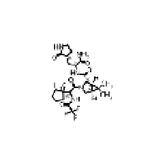 CC1([C@H](NC(=O)C(F)(F)F)C(=O)N2C[C@H]3[C@@H]([C@H]2C(=O)N[C@@H](C[C@@H]2CCNC2=O)C(N)=O)C3(C)C)CCCC1